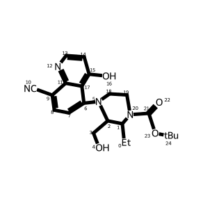 CCC1C(CO)N(c2ccc(C#N)c3nccc(O)c23)CCN1C(=O)OC(C)(C)C